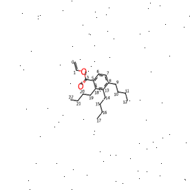 C=COC(=O)c1ccc(CCCC)c(CCCC)c1CCCC